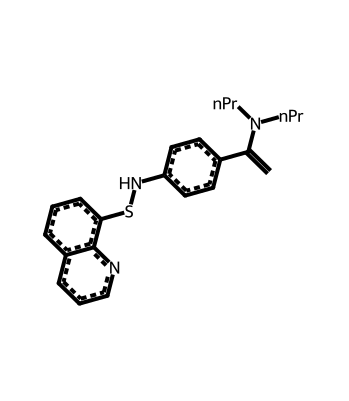 C=C(c1ccc(NSc2cccc3cccnc23)cc1)N(CCC)CCC